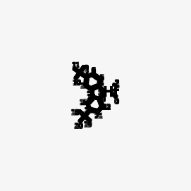 [CH3][Hf]([CH3])[CH]1c2ccc(C(C)(C)C)cc2-c2cc(C(C)(C)C)ccc21